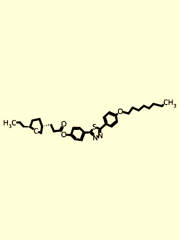 CCCCCCCCOc1ccc(-c2nnc(-c3ccc(OC(=O)CC[C@H]4CC[C@H](CCC)CC4)cc3)s2)cc1